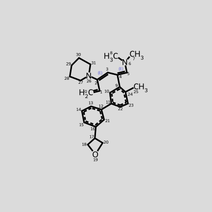 C=C/C(=C\C(=C/N(C)C)c1cc(-c2cccc(C3COC3)c2)ccc1C)N1CCCCC1